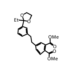 CCC1(c2cccc(CCc3ccc(C(=O)OC)c(C(=O)OC)c3)c2)OCCO1